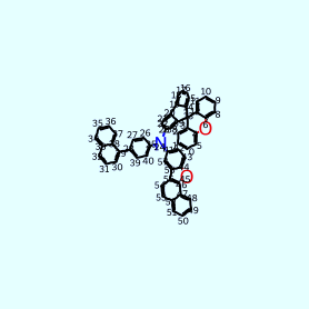 c1ccc2c(c1)Oc1ccccc1C21c2ccccc2-c2ccc(N(c3ccc(-c4cccc5ccccc45)cc3)c3ccc4oc5c6ccccc6ccc5c4c3)cc21